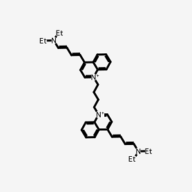 CCN(C=CC=Cc1cc[n+](CCCC[n+]2ccc(C=CC=CN(CC)CC)c3ccccc32)c2ccccc12)CC